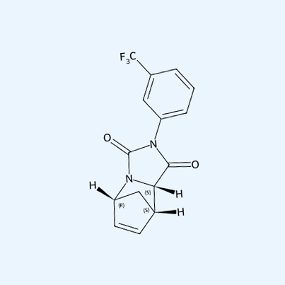 O=C1[C@@H]2[C@@H]3C=C[C@@H](C3)N2C(=O)N1c1cccc(C(F)(F)F)c1